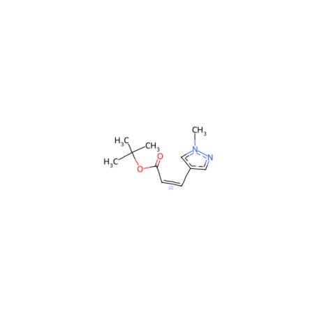 Cn1cc(/C=C\C(=O)OC(C)(C)C)cn1